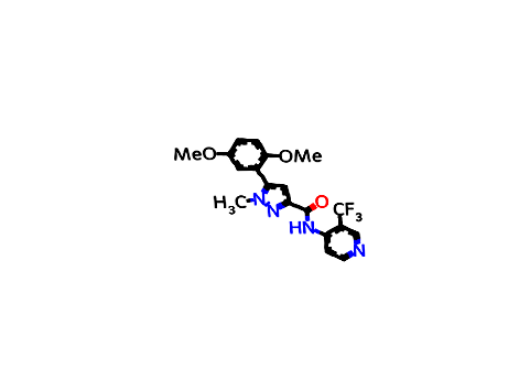 COc1ccc(OC)c(-c2cc(C(=O)Nc3ccncc3C(F)(F)F)nn2C)c1